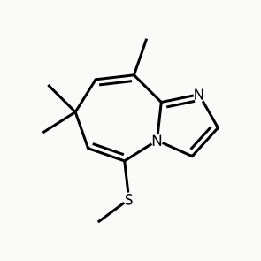 CSC1=CC(C)(C)C=C(C)c2nccn21